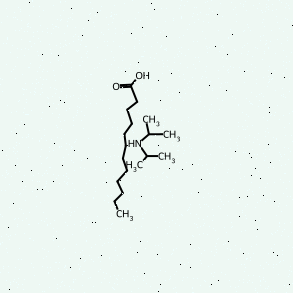 CC(C)NC(C)C.CCCCCCCCCCCC(=O)O